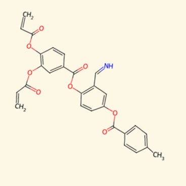 C=CC(=O)Oc1ccc(C(=O)Oc2ccc(OC(=O)c3ccc(C)cc3)cc2C=N)cc1OC(=O)C=C